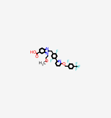 COCCn1c(Cc2cc(F)c(-c3cccc(OCc4ccc(C(F)(F)F)cc4F)n3)cc2F)nc2ccc(C(=O)O)cc21